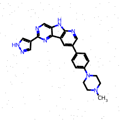 CN1CCN(c2ccc(-c3cnc4[nH]c5cnc(-c6cn[nH]c6)nc5c4c3)cc2)CC1